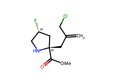 C=C(CCl)C[C@]1(C(=O)OC)C[C@@H](F)CN1